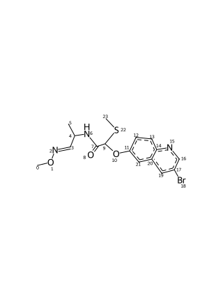 CON=CC(C)NC(=O)C(Oc1ccc2ncc(Br)cc2c1)SC